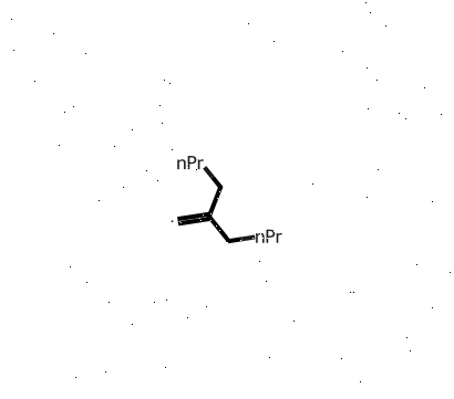 [CH]=C(CCCC)CCCC